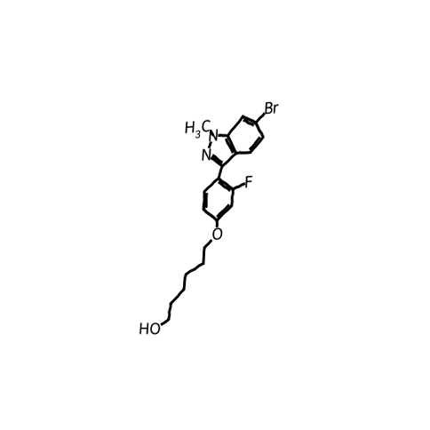 Cn1nc(-c2ccc(OCCCCCCO)cc2F)c2ccc(Br)cc21